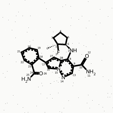 C[C@]1(F)CCC[C@H]1Nc1c(C(N)=O)cnn2cc(-c3ccccc3C(N)=O)cc12